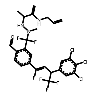 C=CCNC(=C)C(C)NN(C)C(F)(F)c1cc(/C(F)=C/C(c2cc(Cl)c(Cl)c(Cl)c2)C(F)(F)F)ccc1C=O